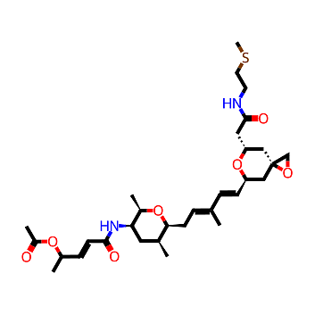 CSCCNC(=O)C[C@@H]1C[C@@]2(CO2)C[C@@H](/C=C/C(C)=C/C[C@@H]2O[C@H](C)[C@H](NC(=O)C=CC(C)OC(C)=O)C[C@@H]2C)O1